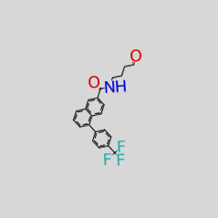 O=CCCCNC(=O)c1ccc2c(-c3ccc(C(F)(F)F)cc3)cccc2c1